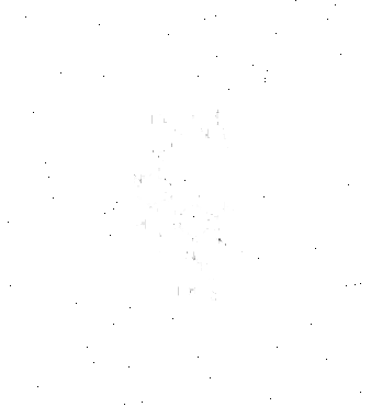 C[C@@H]1CCc2c(-c3nc(N[C@@H]4CCN(S(C)(=O)=O)C[C@H]4O)ncc3F)cc(F)c(N)c2N1B[C@@H](C)O